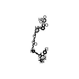 Cc1c(C#Cc2cnn(CCCC(=O)OCCCOCCN3CCC(Nc4cccc5c4CN(C4CCC(=O)NC4=O)C5=O)CC3)c2)sc2c1C(c1ccc(Cl)cc1)=N[C@@H](C)c1nnc(C)n1-2